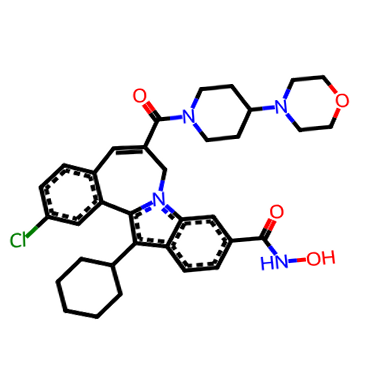 O=C(NO)c1ccc2c(C3CCCCC3)c3n(c2c1)CC(C(=O)N1CCC(N2CCOCC2)CC1)=Cc1ccc(Cl)cc1-3